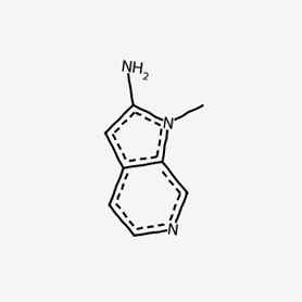 Cn1c(N)cc2ccncc21